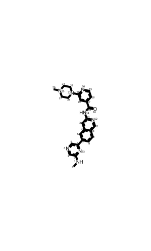 CNc1cncc(-c2ccc3cnc(NC(=O)c4ccnc(N5CCN(C)CC5)c4)cc3c2)n1